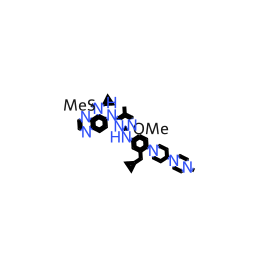 COc1cc(N2CCC(N3CCN(C)CC3)CC2)c(CC2CC2)cc1Nc1ncc(C)c(Nc2ccc3nccnc3c2N(SC)C2CC2)n1